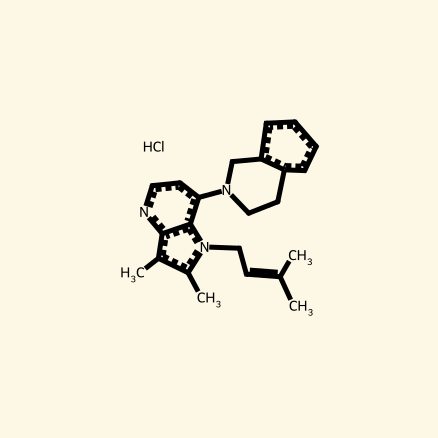 CC(C)=CCn1c(C)c(C)c2nccc(N3CCc4ccccc4C3)c21.Cl